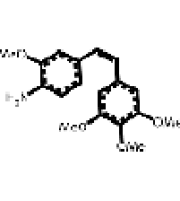 COc1cc(/C=C\c2cc(OC)c(OC)c(OC)c2)ccc1N